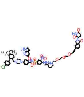 CC1(C)CCC(CN2CCN(c3ccc(C(=O)NS(=O)(=O)c4ccc(NCC5CCCN(CCOCCOCCOCC#Cc6ccc7c(c6)CN(C6CCC(=O)NC6=O)C7=O)C5)c([N+](=O)[O-])c4)c(Oc4cnc5[nH]ccc5c4)c3)CC2)=C(c2ccc(Cl)cc2)C1